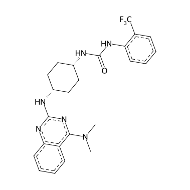 CN(C)c1nc(N[C@H]2CC[C@@H](NC(=O)Nc3ccccc3C(F)(F)F)CC2)nc2ccccc12